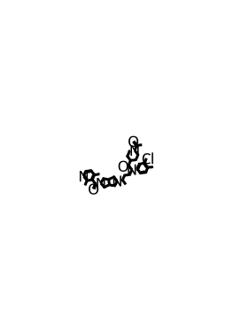 CC(=O)N1CCC(C(=O)N(CCC(C)N2CC3CN(C(=O)c4c(C)ccnc4C)CC3C2)c2ccc(C)c(Cl)c2)CC1